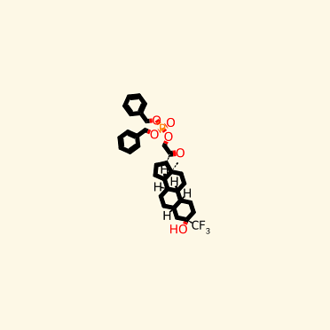 C[C@]12CC[C@H]3[C@@H](CC[C@@H]4C[C@@](O)(C(F)(F)F)CC[C@@H]43)[C@@H]1CC[C@@H]2C(=O)COP(=O)(OCc1ccccc1)OCc1ccccc1